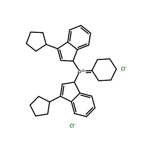 C1=C(C2CCCC2)c2ccccc2[CH]1[Zr+2](=[C]1CCCCC1)[CH]1C=C(C2CCCC2)c2ccccc21.[Cl-].[Cl-]